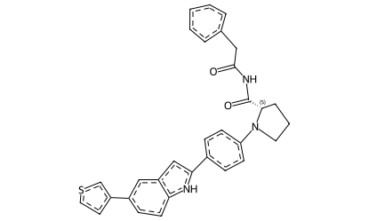 O=C(Cc1ccccc1)NC(=O)[C@@H]1CCCN1c1ccc(-c2cc3cc(-c4ccsc4)ccc3[nH]2)cc1